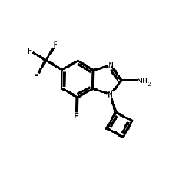 Nc1nc2cc(C(F)(F)F)cc(F)c2n1C1=CC=C1